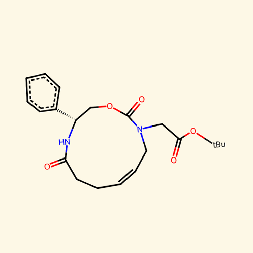 CC(C)(C)OC(=O)CN1CC=CCCC(=O)N[C@H](c2ccccc2)COC1=O